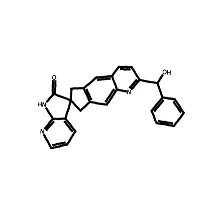 O=C1Nc2ncccc2C12Cc1cc3ccc(C(O)c4ccccc4)nc3cc1C2